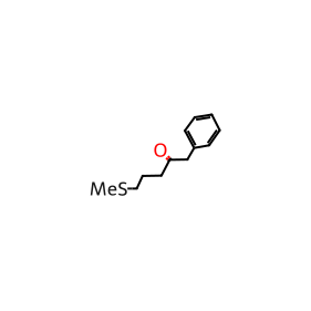 CSCCCC(=O)Cc1ccccc1